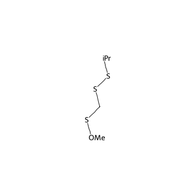 COSCSSC(C)C